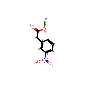 O=C(Cc1cccc([N+](=O)[O-])c1)OBr